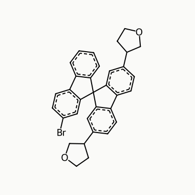 Brc1ccc2c(c1)C1(c3ccccc3-2)c2cc(C3CCOC3)ccc2-c2ccc(C3CCOC3)cc21